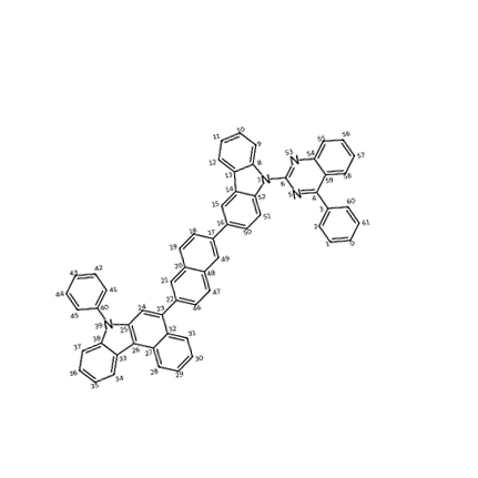 c1ccc(-c2nc(-n3c4ccccc4c4cc(-c5ccc6cc(-c7cc8c(c9ccccc79)c7ccccc7n8-c7ccccc7)ccc6c5)ccc43)nc3ccccc23)cc1